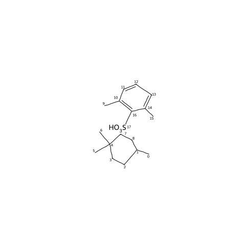 CC1CCC(C)(C)CC1.Cc1cccc(C)c1S(=O)(=O)O